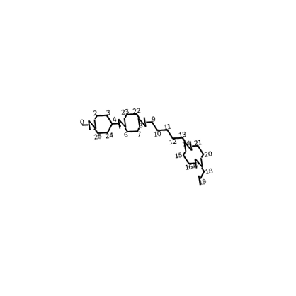 CN1CCC(N2CCN(CCCCCN3CCN(CI)CC3)CC2)CC1